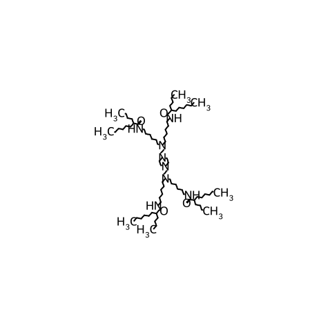 CCCCCCC(CCCC)C(=O)NCCCCCCN(CCCCCCNC(=O)C(CCCC)CCCCCC)CCN1CCN(CCN(CCCCCCNC(=O)C(CCCC)CCCCCC)CCCCCCNC(=O)C(CCCC)CCCCCC)CC1